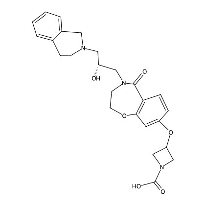 O=C(O)N1CC(Oc2ccc3c(c2)OCCN(C[C@H](O)CN2CCc4ccccc4C2)C3=O)C1